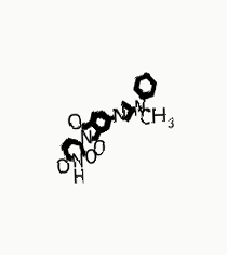 CN(C1CCCCC1)C1CN(c2ccc3c(c2)C(=O)N(C2CCC(=O)NC2=O)C3=O)C1